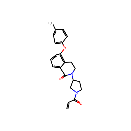 C=CC(=O)N1CCC(N2CCc3c(Oc4ccc(C(F)(F)F)cc4)cccc3C2=O)C1